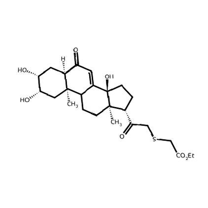 CCOC(=O)CSCC(=O)[C@H]1CC[C@@]2(O)C3=CC(=O)[C@@H]4C[C@@H](O)[C@@H](O)C[C@]4(C)C3CC[C@]12C